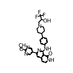 COc1ncc(-c2cc3cc[nH]c(=O)c3c(Nc3ccc(C4CCN(CC(O)C(F)(F)F)CC4)cc3)n2)cn1